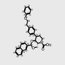 COC(OC1CN(C(=O)O)CCC1c1ccc(CCOc2ccccc2)cc1)c1ccc2ccccc2c1